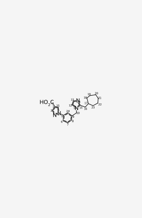 O=C(O)c1cnn(-c2cccc(Cn3ccnc3CC3CCCCCC3)c2)c1